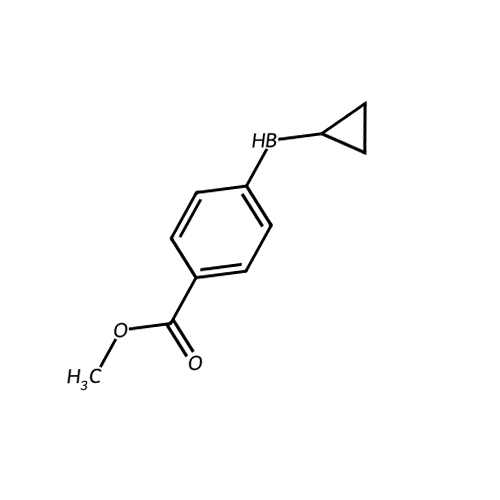 COC(=O)c1ccc(BC2CC2)cc1